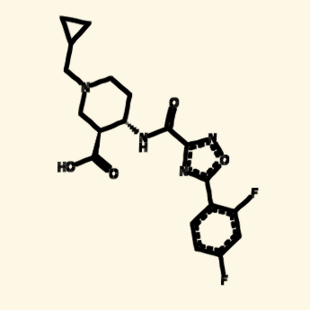 O=C(N[C@H]1CCN(CC2CC2)C[C@@H]1C(=O)O)c1noc(-c2ccc(F)cc2F)n1